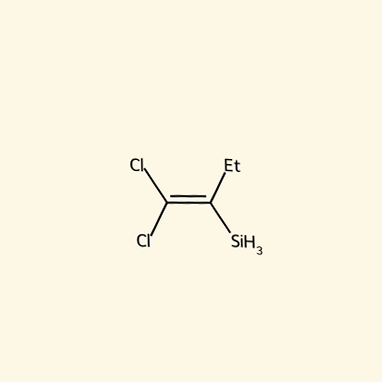 CCC([SiH3])=C(Cl)Cl